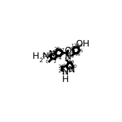 Cc1cc2cc(C(=O)N(Cc3ccc(O)cc3)Cc3ccnc4[nH]ccc34)ccc2nc1N